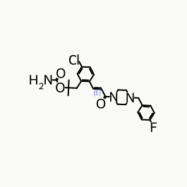 CC(C)(Cc1cc(Cl)ccc1/C=C/C(=O)N1CCN(Cc2ccc(F)cc2)CC1)OC(N)=O